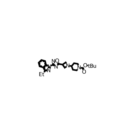 CCc1nn(-c2noc(C3CN(C4CCN(C(=O)OC(C)(C)C)CC4)C3)n2)c2ccccc12